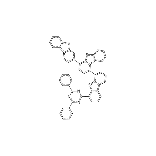 c1ccc(-c2nc(-c3ccccc3)nc(-c3cccc4c3sc3c(-c5ccc(-c6ccc7c(c6)sc6ccccc67)c6sc7ccccc7c56)cccc34)n2)cc1